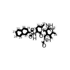 C=C1C(CNC=O)=C(n2c(C)ccc(NS(=O)(=O)c3ccc4ccccc4c3)c2=O)C(N)=NC1C